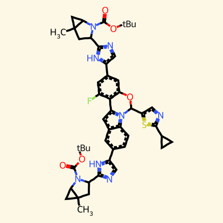 CC(C)(C)OC(=O)N1C(c2ncc(-c3cc(F)c4c(c3)OC(c3cnc(C5CC5)s3)n3c-4cc4cc(-c5cnc(C6CC7(C)CC7N6C(=O)OC(C)(C)C)[nH]5)ccc43)[nH]2)CC2(C)CC12